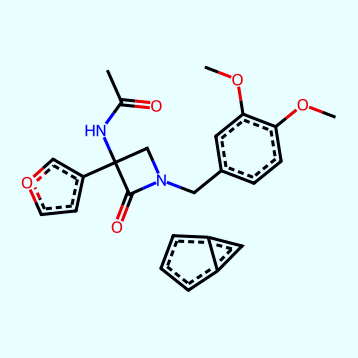 COc1ccc(CN2CC(NC(C)=O)(c3ccoc3)C2=O)cc1OC.c1cc2cc-2c1